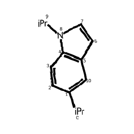 CC(C)c1ccc2c(ccn2C(C)C)c1